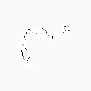 CSc1ccc(OCCC2CC2C2CCN(C(=O)OCC3CCC3)CC2)nc1